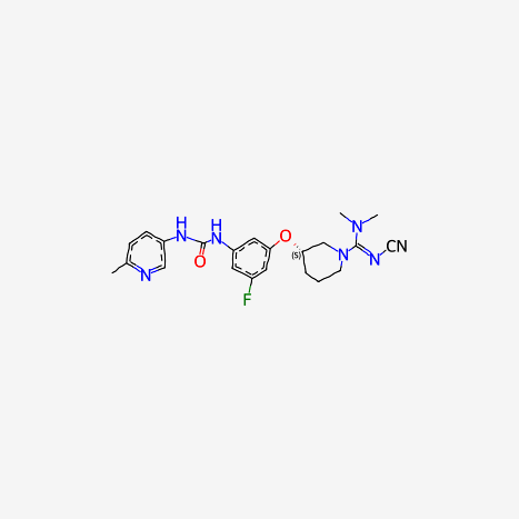 Cc1ccc(NC(=O)Nc2cc(F)cc(O[C@H]3CCCN(C(=NC#N)N(C)C)C3)c2)cn1